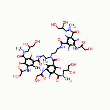 Cc1c(NC(=O)CO)c(I)c(C(=O)N(C)CC(O)CO)c(I)c1C(=O)NCCN(CCCNC(=O)c1c(I)c(NC(=O)CO)c(I)c(C(=O)N(C)CC(O)CO)c1I)C(=O)c1c(C)c(NC(=O)CO)c(I)c(C(=O)N(C)CC(O)CO)c1I